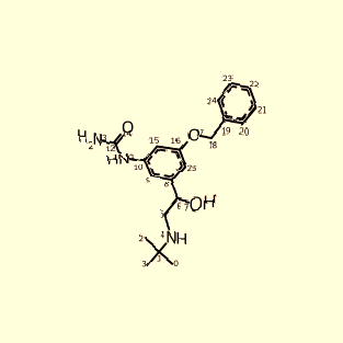 CC(C)(C)NCC(O)c1cc(NC(N)=O)cc(OCc2ccccc2)c1